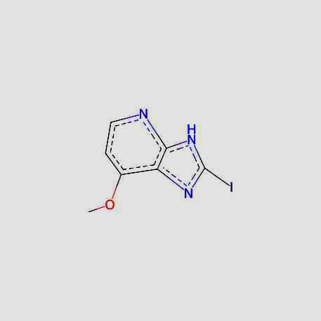 COc1ccnc2[nH]c(I)nc12